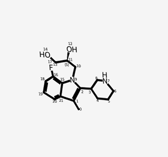 Cc1c(C2CCCNC2)n(C[C@H](O)CO)c2c(F)cccc12